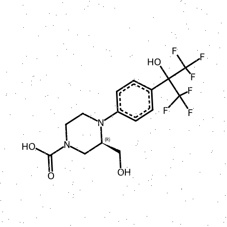 O=C(O)N1CCN(c2ccc(C(O)(C(F)(F)F)C(F)(F)F)cc2)[C@@H](CO)C1